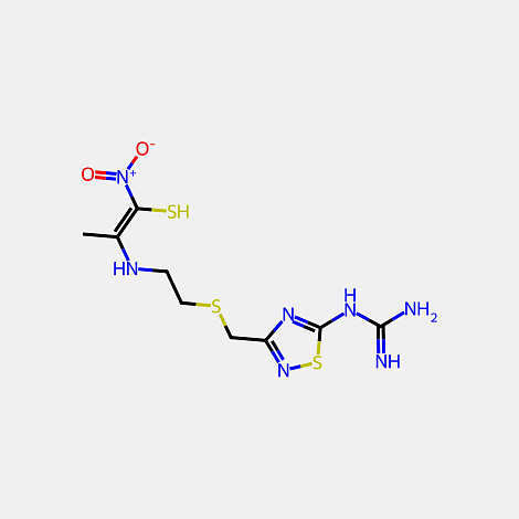 CC(NCCSCc1nsc(NC(=N)N)n1)=C(S)[N+](=O)[O-]